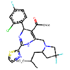 COC(=O)C1=C(CN2CC(F)(F)CC2CC(C)C(=O)O)NC(c2nccs2)=NC1c1ccc(F)cc1Cl